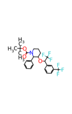 CC(C)(C)OC(=O)N1CCCC(OC(c2cccc(C(F)(F)F)c2)C(F)(F)F)C1c1ccccc1